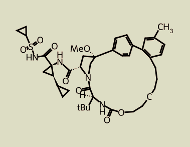 CO[C@@]12C[C@@H](C(=O)N[C@]3(C(=O)NS(=O)(=O)C4CC4)C[C@@H]3C3CC3)N(C1)C(=O)[C@H](C(C)(C)C)NC(=O)OCCCCCCc1ccc(C)cc1-c1ccc2cc1